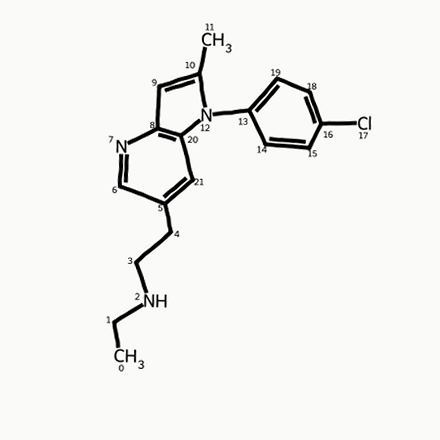 CCNCCc1cnc2cc(C)n(-c3ccc(Cl)cc3)c2c1